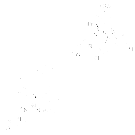 COc1ccc(C2=N[C@@H](c3ccc(Cl)cc3)[C@@H](c3ccc(Cl)cc3)N2C(=O)N2CCN(CC(=O)NCCCCCCCCCCCc3cccc(-c4cc(N5CCN(CCO)CC5)n5nc(C)c(-c6ccccc6)c5n4)c3)CC2)c(OC(C)C)c1